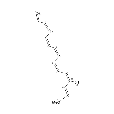 C=C\C=C/C=C\C=C/C=C\C=C(S)/C=C/OC